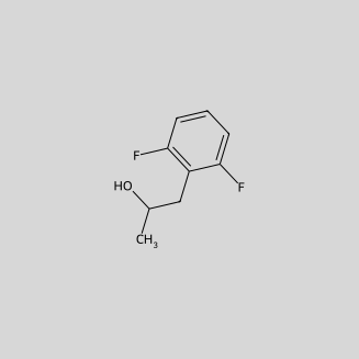 CC(O)Cc1c(F)cccc1F